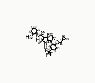 Cc1[nH]c2c(-c3cc(C(F)(F)F)ccc3OCC3CC3)ncnc2c1C(=O)N[C@@H]1CCCC[C@@H]1O